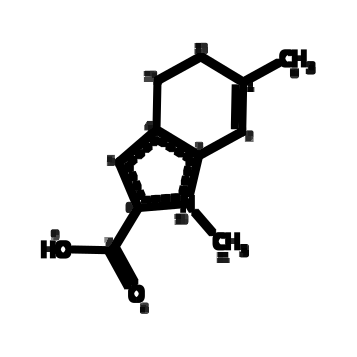 CC1=Cc2c(cc(C(=O)O)n2C)CC1